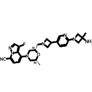 C[C@@H]1CN(c2ccc(C#N)n3ncc(F)c23)C[C@H](CN2CC(c3ccc(N4CC(C)(N)C4)nc3)C2)O1